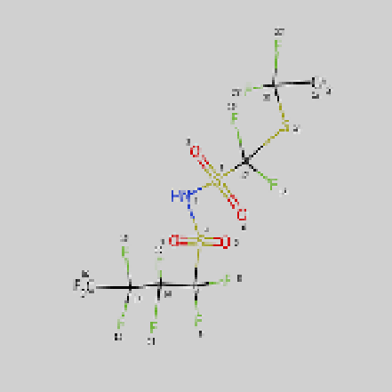 O=S(=O)(NS(=O)(=O)C(F)(F)C(F)(F)C(F)(F)C(F)(F)F)C(F)(F)SC(F)(F)C(F)(F)F